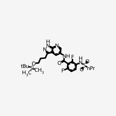 CCCS(=O)(=O)Nc1ccc(F)c(C(=O)Nc2cnc3[nH]nc(CCCO[Si](C)(C)C(C)(C)C)c3c2)c1F